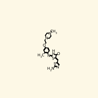 Cc1cc(OCCN2CCN(C)CC2)ccc1N=C1NC(=O)C(=Cc2cnc(N)s2)S1